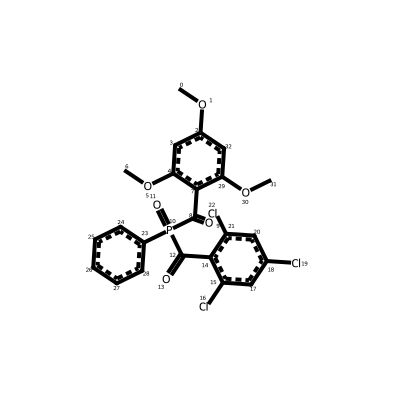 COc1cc(OC)c(C(=O)P(=O)(C(=O)c2c(Cl)cc(Cl)cc2Cl)c2ccccc2)c(OC)c1